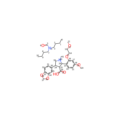 CCCCN(C=O)CCCC.COCCOc1cc(OC)ccc1C1C(C(=O)O)C(c2ccc3c(c2)OCO3)CN1C